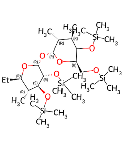 CC[C@H]1O[C@H](O[C@H]2O[C@H](CO[Si](C)(C)C)C(O[Si](C)(C)C)[C@H](C)[C@H]2C)[C@H](O[Si](C)(C)C)[C@@H](O[Si](C)(C)C)[C@@H]1C